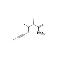 C=C(NC)C(C)C(C)CC#CC